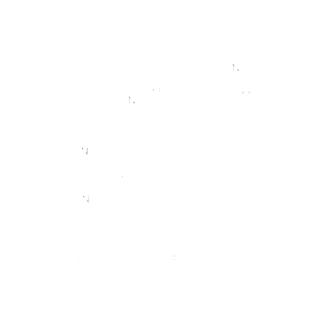 Fc1cc(F)c2nc(N[C@@H]3CCN(OCc4cnoc4-c4ccccc4)C3)sc2c1